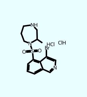 CC1CNCCCN1S(=O)(=O)c1cccc2cncc(Br)c12.Cl.Cl